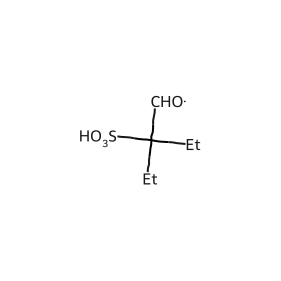 CCC([C]=O)(CC)S(=O)(=O)O